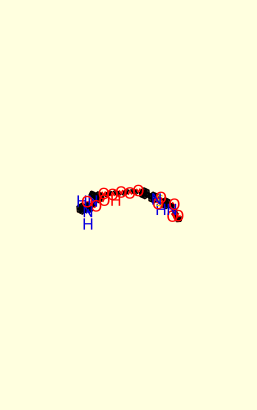 CC(C)(C)OC(=O)CNC(=O)c1ccc(S(=O)(=O)N2CCC(c3ccc(OCCOCCOCCOCCOc4cc(C(C)(C)C)c(NC(=O)c5c[nH]c6ccccc6c5=O)cc4O)cc3)CC2)cc1